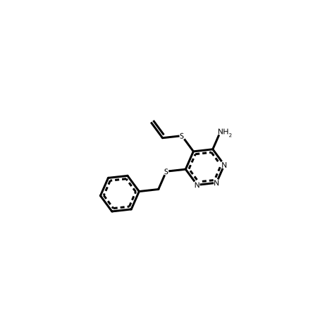 C=CSc1c(N)nnnc1SCc1ccccc1